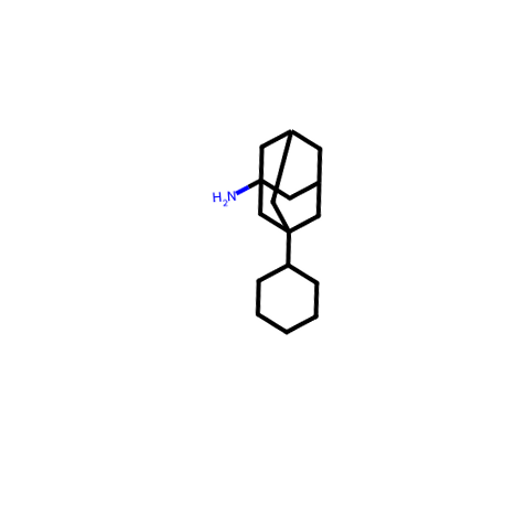 NC12CC3CC(C1)CC(C1CCCCC1)(C3)C2